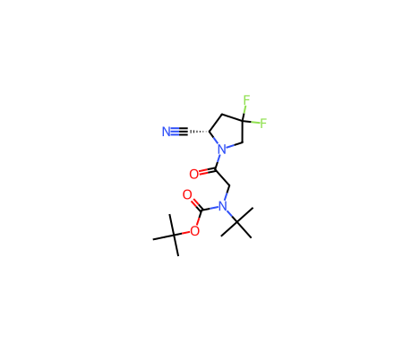 CC(C)(C)OC(=O)N(CC(=O)N1CC(F)(F)C[C@H]1C#N)C(C)(C)C